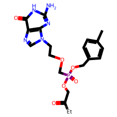 CCC(=O)COP(=O)(COCCn1cnc2c(=O)[nH]c(N)nc21)OCc1ccc(C)cc1